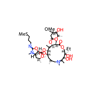 CC[C@H]1OC(=O)[C@H](C)[C@@H](O[C@H]2C[C@@](C)(OC)[C@@H](O)[C@H](C)O2)[C@H](C)[C@@H](O[C@@H]2O[C@H](C)C[C@H]3[C@H]2OC(=NCCCSC)N3C)[C@](C)(O)C[C@@H](C)CN(C)[C@H](C)[C@@H](O)[C@]1(C)O